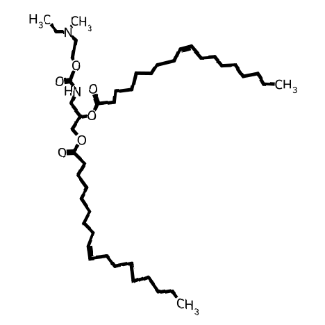 CCCCCCCC/C=C\CCCCCCCC(=O)OCC(CNC(=O)OCCN(C)CC)OC(=O)CCCCCCC/C=C\CCCCCCCC